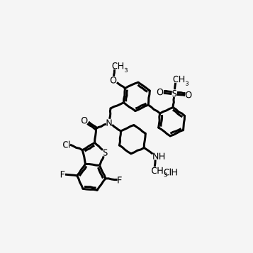 CNC1CCC(N(Cc2cc(-c3ccccc3S(C)(=O)=O)ccc2OC)C(=O)c2sc3c(F)ccc(F)c3c2Cl)CC1.Cl